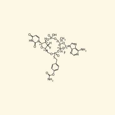 C[C@H]1OP(=O)(O)O[C@@H]2[C@H](F)[C@@H](COP(=O)(SCc3ccc(OC(N)=O)cc3)O[C@H]3[C@@H](F)[C@H](n4cnc5c(N)ncnc54)O[C@@H]31)O[C@H]2n1ccc(=O)[nH]c1=O